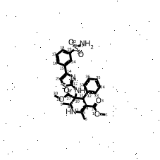 COC(=O)C1=C(C)NC(C)C(Nc2nc(-c3cccc(S(N)(=O)=O)c3)cs2)(C(=O)OC)C1c1ccccc1